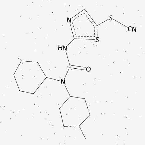 CC1CCC(N(C(=O)Nc2ncc(SC#N)s2)C2CCCCC2)CC1